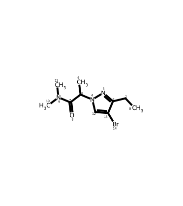 CCc1nn(C(C)C(=O)N(C)C)cc1Br